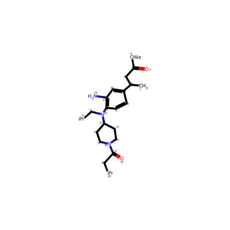 COC(=O)CC(C)c1ccc(N(CC(C)C)C2CCN(C(=O)CC(C)C)CC2)c(N)c1